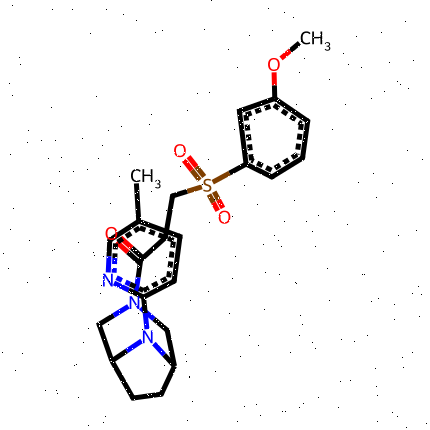 COc1cccc(S(=O)(=O)CCC(=O)N2CC3CCC(C2)N3c2ccc(C)cn2)c1